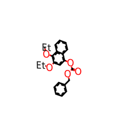 CCOc1cc(OC(=O)OCc2ccccc2)c2ccccc2c1OCC